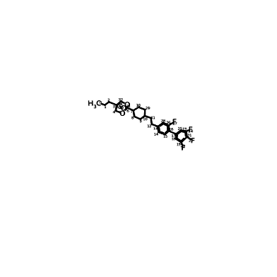 CCCC12COC(C3CCC(CCc4ccc(-c5cc(F)c(F)c(F)c5)c(F)c4)CC3)(OC1)OC2